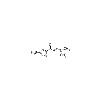 Bc1csc(C(=O)C=CN(C)C)c1